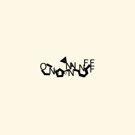 FC(F)(F)c1cccc(-c2nc([C@H]3CC[C@@H](N4CCCOCC4)C3)n(C3CC3)n2)n1